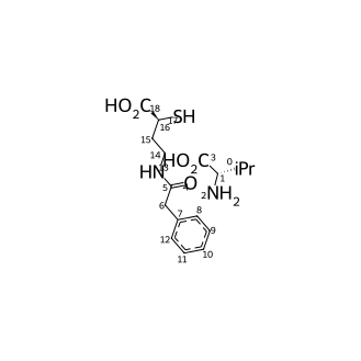 CC(C)[C@H](N)C(=O)O.O=C(Cc1ccccc1)NCC[C@H](S)C(=O)O